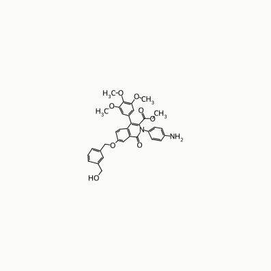 COC(=O)c1c(-c2cc(OC)c(OC)c(OC)c2)c2ccc(OCc3cccc(CO)c3)cc2c(=O)n1-c1ccc(N)cc1